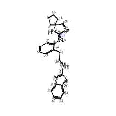 c1ccc(/N=C2\NC3(CCCC3)CS2)c(CCNc2nc3ccccc3s2)c1